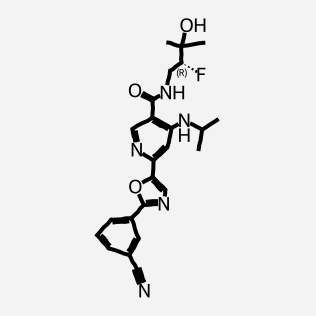 CC(C)Nc1cc(-c2cnc(-c3cccc(C#N)c3)o2)ncc1C(=O)NC[C@@H](F)C(C)(C)O